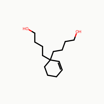 OCCCCC1(CCCCO)C=CCCC1